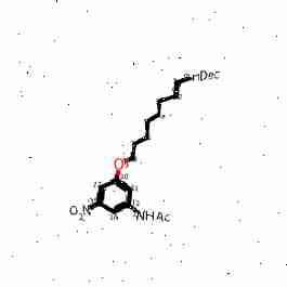 CCCCCCCCCCCCCCCCCCOc1cc(NC(C)=O)cc([N+](=O)[O-])c1